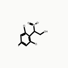 O=[N+]([O-])C(CO)c1c(Cl)cc(I)cc1Cl